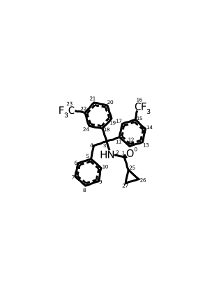 O=C(NC(Cc1ccccc1)(c1cccc(C(F)(F)F)c1)c1cccc(C(F)(F)F)c1)C1CC1